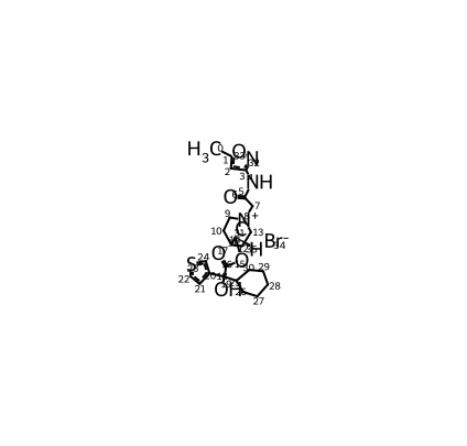 Cc1cc(NC(=O)C[N+]23CCC(CC2)[C@@H](OC(=O)C(O)(c2ccsc2)C2CCCCC2)C3)no1.[Br-]